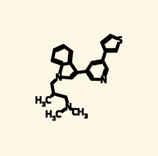 CC(CN(C)C)Cn1cc(-c2cncc(-c3ccsc3)c2)c2ccccc21